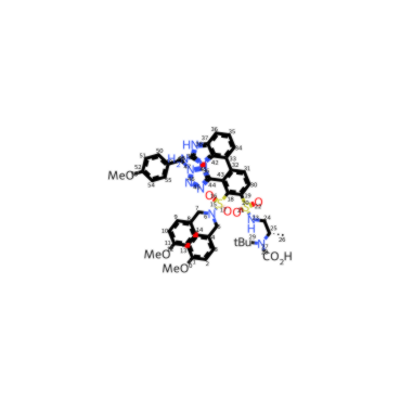 COc1ccc(CN(Cc2ccc(OC)cc2)S(=O)(=O)c2c(S(=O)(=O)NC[C@H](C)N(C(=O)O)C(C)(C)C)ccc(-c3cccc4[nH]c(N)nc34)c2-c2nnn(Cc3ccc(OC)cc3)n2)cc1